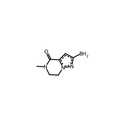 Bc1cc2n(n1)CCN(C)C2=O